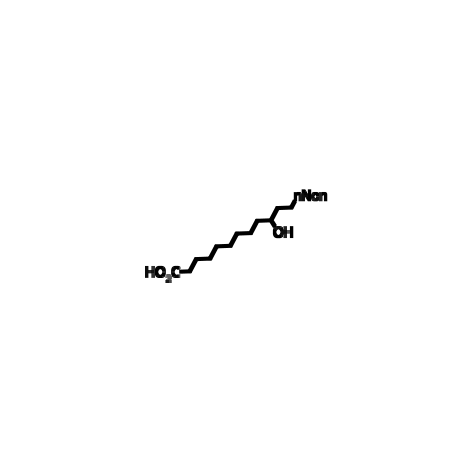 CCCCCCCCCCCC(O)CCCCCCCCC(=O)O